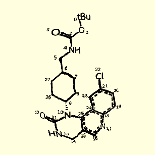 CC(C)(C)OC(=O)NC[C@H]1CC[C@H](N2C(=O)NCc3cnc4ccc(Cl)cc4c32)CC1